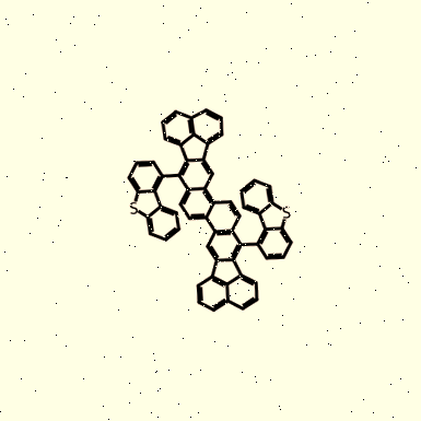 c1cc2c3c(cccc3c1)-c1c-2cc2c(ccc3c4cc5c(c(-c6cccc7sc8ccccc8c67)c4ccc23)-c2cccc3cccc-5c23)c1-c1cccc2sc3ccccc3c12